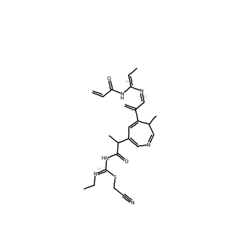 C=CC(=O)NC(=C/C)/N=C\C(=C)C1=CC(C(C)C(=O)N/C(=N/CC)SCC#N)=CN=CC1C